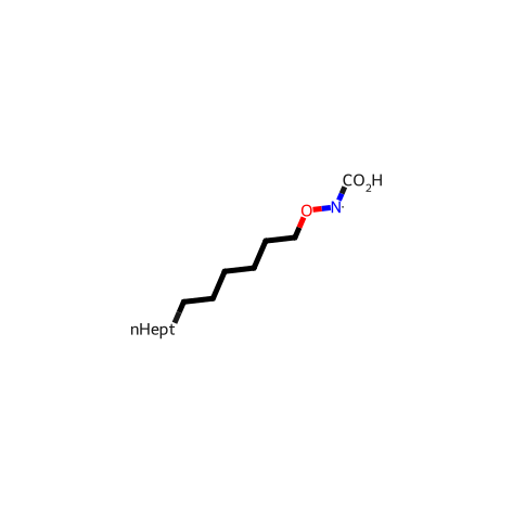 CCCCCCCCCCCCCO[N]C(=O)O